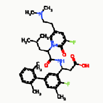 Cc1cc(-c2c(C)cccc2C)cc(C(CC(=O)O)NC(=O)C(CC(C)C)n2cc(CCN(C)C)cc(F)c2=O)c1F